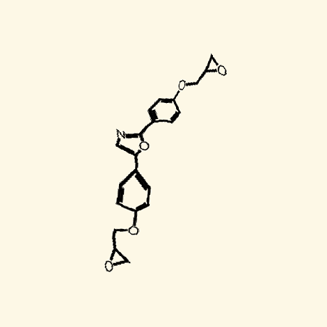 c1cc(-c2cnc(-c3ccc(OCC4CO4)cc3)o2)ccc1OCC1CO1